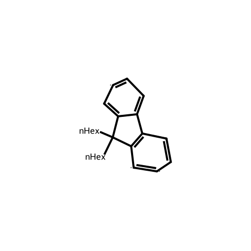 CCCCCCC1(CCCCCC)c2[c][c]ccc2-c2cc[c]cc21